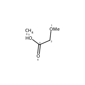 C.COCC(=O)O